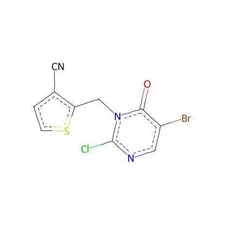 N#Cc1ccsc1Cn1c(Cl)ncc(Br)c1=O